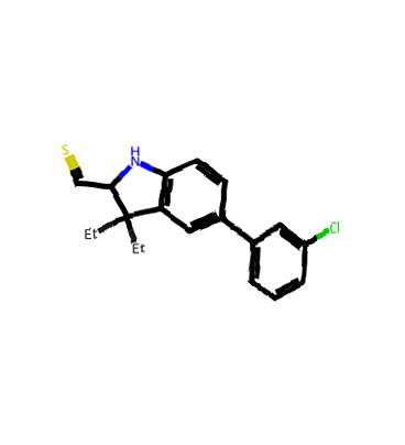 CCC1(CC)c2cc(-c3cccc(Cl)c3)ccc2NC1C=S